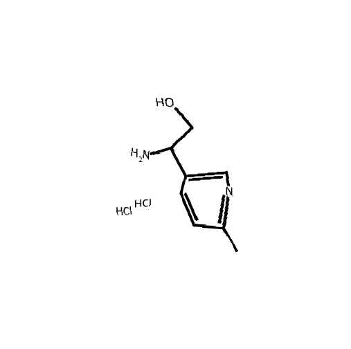 Cc1ccc(C(N)CO)cn1.Cl.Cl